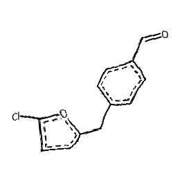 O=Cc1ccc(Cc2ccc(Cl)o2)cc1